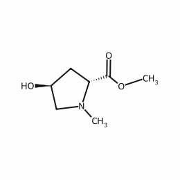 COC(=O)[C@H]1C[C@H](O)CN1C